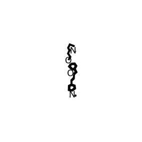 CN(C)c1ccc(C=Cc2cc3ccc(OCCC4CCCN4C)cc3o2)cc1